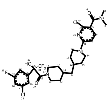 CN(C)C(=O)c1ccc(N2CCC(CC3CCN(C(=O)[C@](O)(c4cc(F)cc(Cl)c4)C(F)(F)F)CC3)CC2)nc1Cl